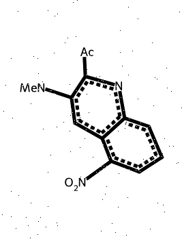 CNc1cc2c([N+](=O)[O-])cccc2nc1C(C)=O